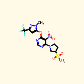 Cn1nc(C(F)(F)F)cc1Oc1ncnc(N2CCC(S(C)(=O)=O)C2)c1[N+](=O)[O-]